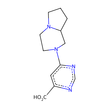 O=C(O)c1cc(N2CCN3CCCC3C2)ncn1